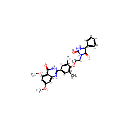 COc1cc(OC)c2c(=O)[nH]c(-c3cc(C)c(OCCN4C(=O)NC(c5ccccc5)C4=O)c(C)c3)nc2c1